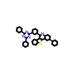 c1ccc(-c2ccc3nc(-c4cccc(-c5nc(-c6ccccc6)nc(-c6ccccc6)n5)c4)c4c5ccccc5sc4c3c2)cc1